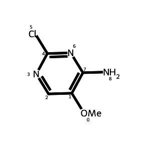 COc1cnc(Cl)nc1N